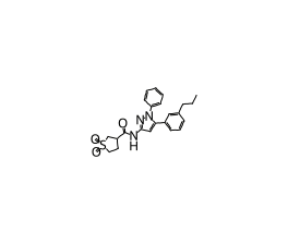 CCCc1cccc(-c2cc(NC(=O)C3CCS(=O)(=O)C3)nn2-c2ccccc2)c1